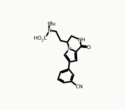 CC(C)(C)N(CCC1CNC(=O)c2cc(-c3cccc(C#N)c3)cn21)C(=O)O